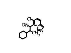 CC(C1CCCCC1)C(N=O)c1c(Cl)ccc2cncn12